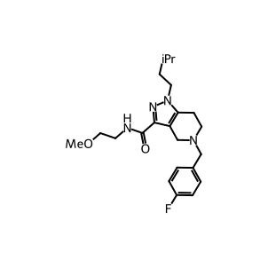 COCCNC(=O)c1nn(CCC(C)C)c2c1CN(Cc1ccc(F)cc1)CC2